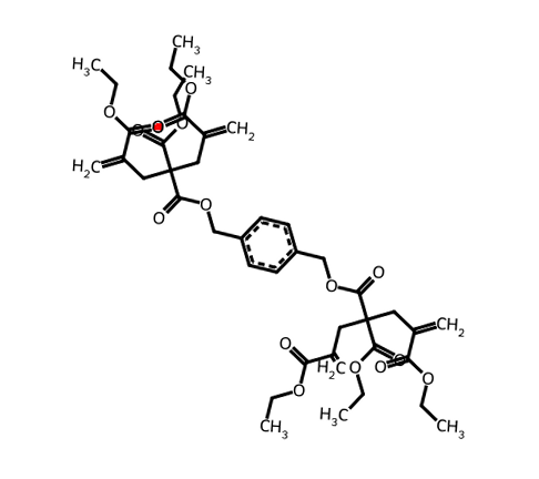 C=C(CC(CC(=C)C(=O)OCC)(C(=O)OCC)C(=O)OCc1ccc(COC(=O)C(CC(=C)C(=O)OCC)(CC(=C)C(=O)OCC)C(=O)OCC)cc1)C(=O)OCC